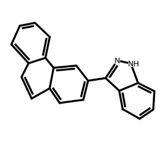 c1ccc2c(c1)ccc1ccc(-c3n[nH]c4ccccc34)cc12